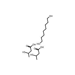 CC(S)CC(=O)O.CC(S)CC(=O)O.OCCCCCCCCO